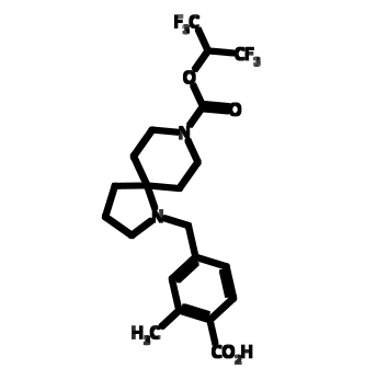 Cc1cc(CN2CCCC23CCN(C(=O)OC(C(F)(F)F)C(F)(F)F)CC3)ccc1C(=O)O